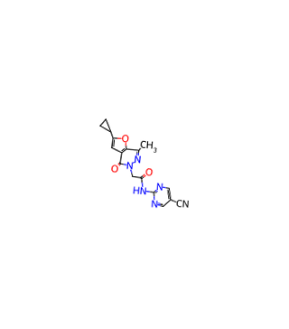 Cc1nn(CC(=O)Nc2ncc(C#N)cn2)c(=O)c2cc(C3CC3)oc12